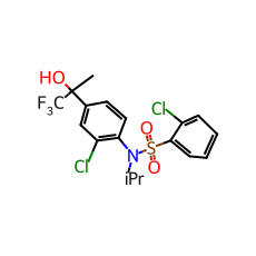 CC(C)N(c1ccc(C(C)(O)C(F)(F)F)cc1Cl)S(=O)(=O)c1ccccc1Cl